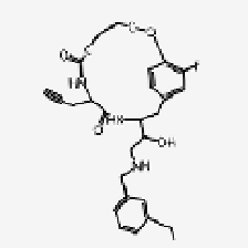 C#CCC1NC(=O)CCCCOc2ccc(cc2F)CC(C(O)CNCc2cccc(CC)c2)NC1=O